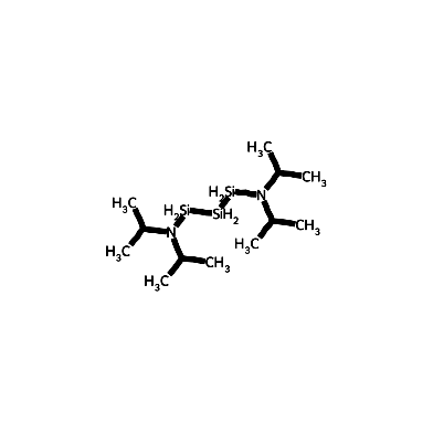 CC(C)N([SiH2][SiH2][SiH2]N(C(C)C)C(C)C)C(C)C